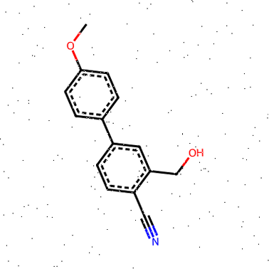 COc1ccc(-c2ccc(C#N)c(CO)c2)cc1